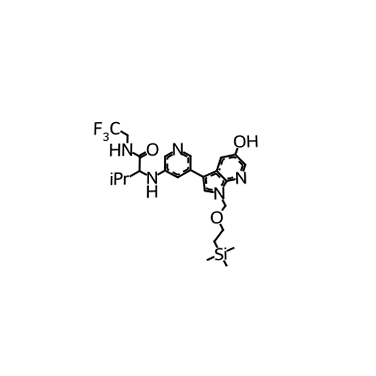 CC(C)C(Nc1cncc(-c2cn(COCC[Si](C)(C)C)c3ncc(O)cc23)c1)C(=O)NCC(F)(F)F